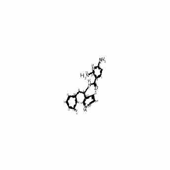 Nc1ccc(C(=O)NC(Cc2cccc(F)c2)c2cc[nH]c2)c(N)n1